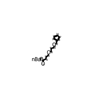 CCCCOC(=O)CCCOCCCOCc1ccccc1